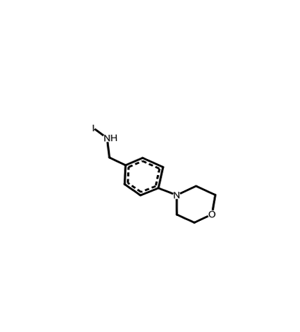 INCc1ccc(N2CCOCC2)cc1